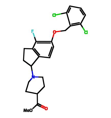 COC(=O)C1CCN(C2CCc3c2ccc(OCc2c(Cl)cccc2Cl)c3F)CC1